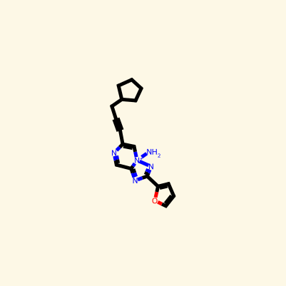 N[N+]12C=C(C#CCC3CCCC3)N=CC1=NC(c1ccco1)=N2